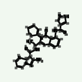 CC(NC(=O)c1c(N)nn2cccnc12)c1cc2cccc(NC(=O)c3cn[nH]c3)c2c(=O)n1-c1ccccc1